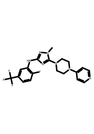 Cn1nc(Nc2cc(C(F)(F)F)ccc2F)nc1N1CCN(c2ccncc2)CC1